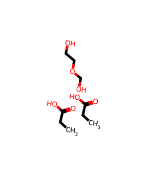 CCC(=O)O.CCC(=O)O.OCCOCO